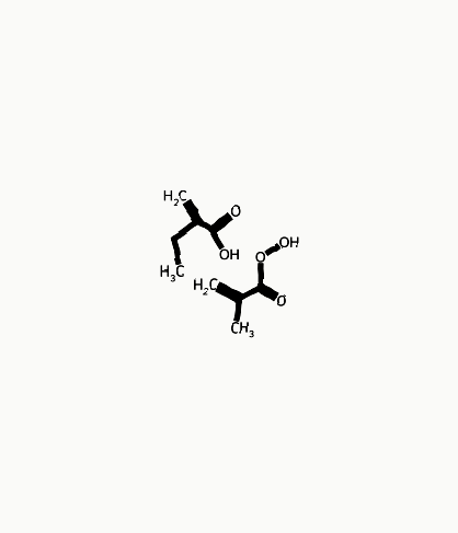 C=C(C)C(=O)OO.C=C(CC)C(=O)O